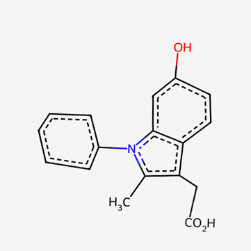 Cc1c(CC(=O)O)c2ccc(O)cc2n1-c1ccccc1